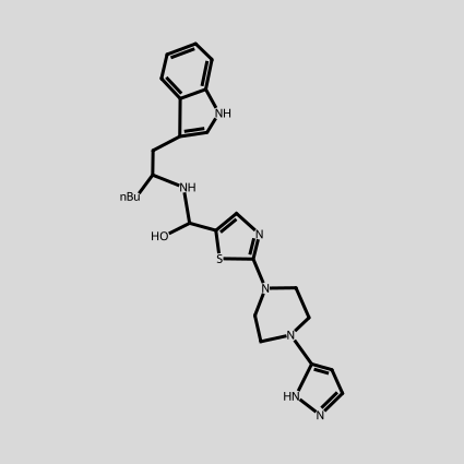 CCCCC(Cc1c[nH]c2ccccc12)NC(O)c1cnc(N2CCN(c3ccn[nH]3)CC2)s1